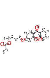 C=CC(=O)OC(C)CCCOc1ccc(C(=O)c2ccccc2)c(O)c1